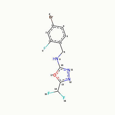 Fc1cc(Br)ccc1CNc1nnc(C(F)F)o1